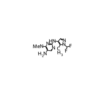 CNc1nc(Nc2cnn(C(F)F)c2C)ncc1N